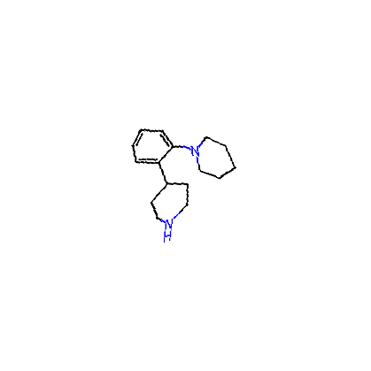 c1ccc(N2CCCCC2)c(C2CCNCC2)c1